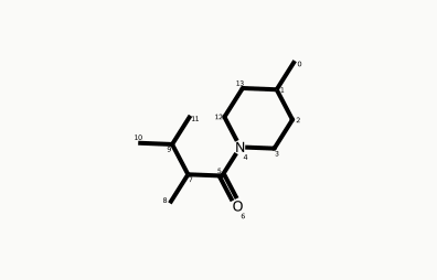 CC1CCN(C(=O)C(C)C(C)C)CC1